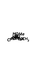 CO[C@H]1CN(C(=O)Nc2ccc(Cl)cn2)[C@@](C)(C(=O)Nc2ccc3c(c2)CCN(C)CC3)C1